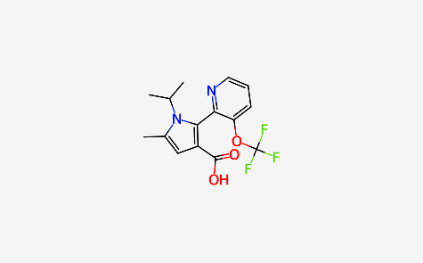 Cc1cc(C(=O)O)c(-c2ncccc2OC(F)(F)F)n1C(C)C